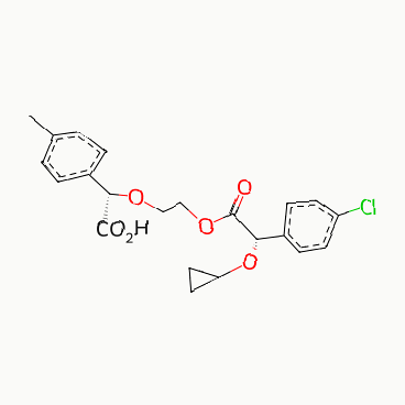 Cc1ccc([C@H](OCCOC(=O)[C@@H](OC2CC2)c2ccc(Cl)cc2)C(=O)O)cc1